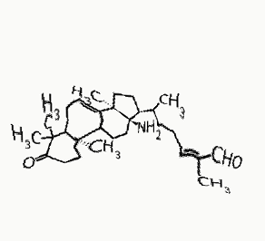 C/C(C=O)=C/CCC(C)[C@@H]1CC[C@]2(C)C3=CCC4C(C)(C)C(=O)CC[C@]4(C)C3CC[C@@]12N